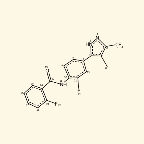 Cc1c(C(F)(F)F)n[nH]c1-c1ccc(NC(=O)c2ccccc2F)c(F)c1